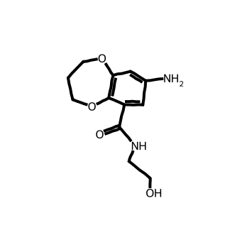 Nc1cc2c(c(C(=O)NCCO)c1)OCCCO2